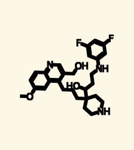 COc1ccc2ncc(CO)c(CCCC3(C(O)CCNc4cc(F)cc(F)c4)CCNCC3)c2c1